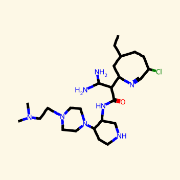 CCC1CCC(Cl)/C=N\C(C(C(=O)NC2CNCCC2N2CCN(CCN(C)C)CC2)C(N)N)C1